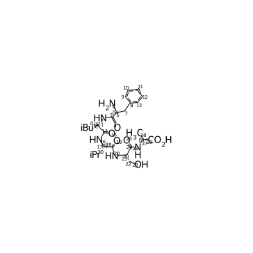 CC[C@H](C)[C@H](NC(=O)[C@@H](N)Cc1ccccc1)C(=O)N[C@H](C(=O)N[C@@H](CO)C(=O)N[C@@H](C)C(=O)O)C(C)C